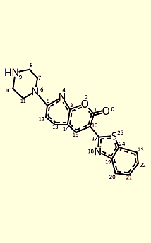 O=c1oc2nc(N3CCNCC3)ccc2cc1-c1nc2ccccc2s1